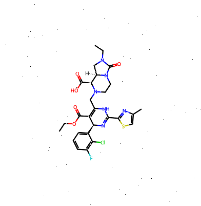 CCOC(=O)C1=C(CN2CCN3C(=O)N(CC)C[C@@H]3[C@@H]2C(=O)O)NC(c2nc(C)cs2)=N[C@H]1c1cccc(F)c1Cl